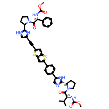 COC(=O)N[C@H](C(=O)N1CCC[C@H]1c1ncc(-c2ccc(-c3cc4sc(C#Cc5c[nH]c(C6CCCN6C(=O)[C@H](NC(=O)OC)c6ccccc6)n5)cc4s3)cc2)[nH]1)C(C)C